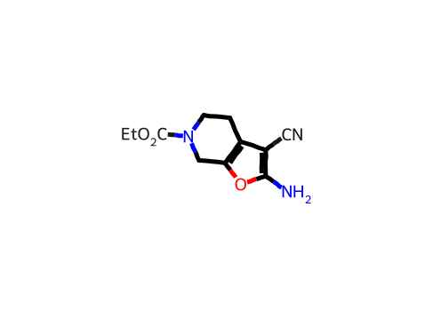 CCOC(=O)N1CCc2c(oc(N)c2C#N)C1